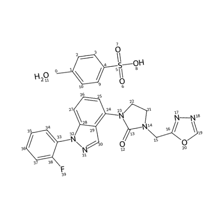 Cc1ccc(S(=O)(=O)O)cc1.O.O=C1N(Cc2nnco2)CCN1c1cccc2c1cnn2-c1ccccc1F